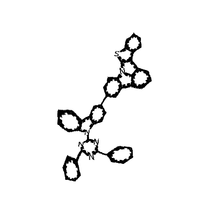 c1ccc(-c2nc(-c3ccccc3)nc(-n3c4ccccc4c4cc(-c5ccc6c(c5)c5cccc7c8c9ccccc9sc8n6c57)ccc43)n2)cc1